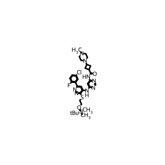 CN1CCN(C2CC(C(=O)Nc3cc(Nc4cc(-c5cc(Cl)ccc5F)nnc4SCCO[Si](C)(C)C(C)(C)C)ncn3)C2)CC1